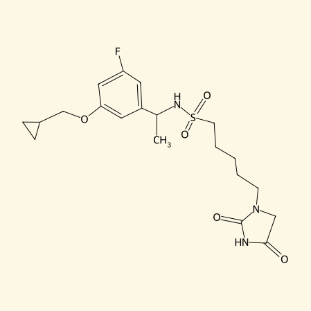 CC(NS(=O)(=O)CCCCCN1CC(=O)NC1=O)c1cc(F)cc(OCC2CC2)c1